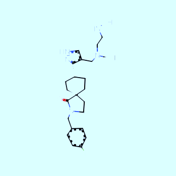 CNCCN(C)Cc1c[nH]nc1[C@H]1CC[C@]2(CCN(Cc3ccc(F)cc3)C2=O)CC1